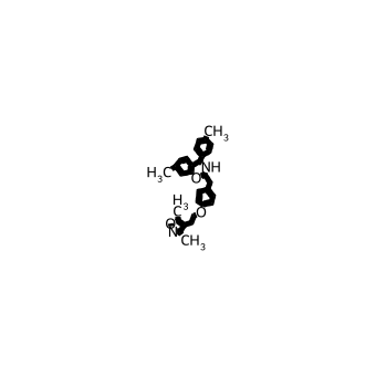 Cc1ccc(C(NC(=O)Cc2ccc(OCCc3c(C)noc3C)cc2)c2ccc(C)cc2)cc1